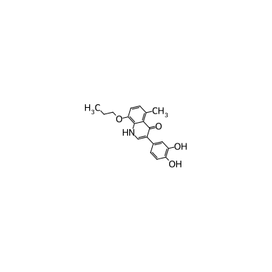 CCCOc1ccc(C)c2c(=O)c(-c3ccc(O)c(O)c3)c[nH]c12